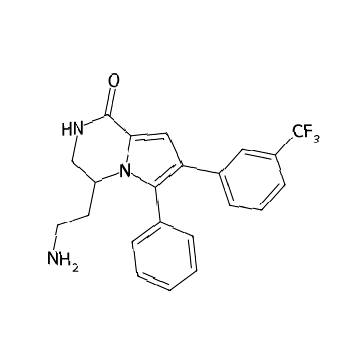 NCCC1CNC(=O)c2cc(-c3cccc(C(F)(F)F)c3)c(-c3ccccc3)n21